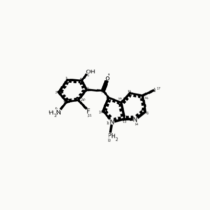 Nc1ccc(O)c(C(=O)c2cn(P)c3ncc(I)cc23)c1F